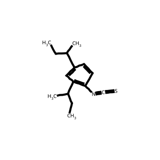 CCC(C)c1ccc(N=C=S)c(C(C)CC)c1